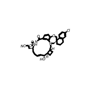 N#CCC[C@@H]1CC/C=C/[C@H](O)[C@@H]2CC[C@H]2CN2C[C@@]3(CCCc4cc(Cl)ccc43)COc3ccc(cc32)C(=O)NS1(=O)=O